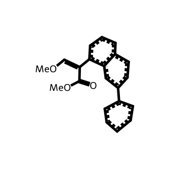 COC=C(C(=O)OC)c1cccc2ccc(-c3ccccc3)cc12